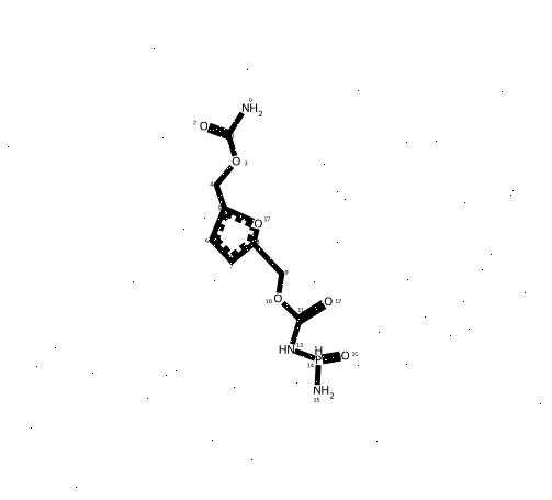 NC(=O)OCc1ccc(COC(=O)N[PH](N)=O)o1